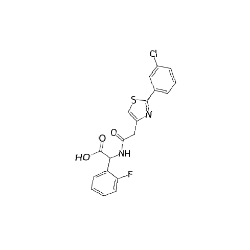 O=C(Cc1csc(-c2cccc(Cl)c2)n1)NC(C(=O)O)c1ccccc1F